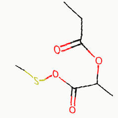 CCC(=O)OC(C)C(=O)OSC